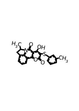 Cc1cccc(Sc2c(O)c3c(=O)n4c5c(cccc5c3oc2=O)CC4C)c1